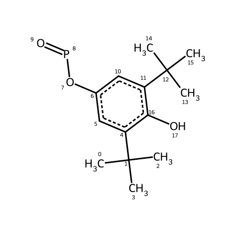 CC(C)(C)c1cc(OP=O)cc(C(C)(C)C)c1O